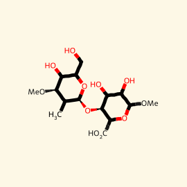 COC1OC(C(=O)O)[C@@H](O[C@@H]2OC(CO)C(O)[C@H](OC)C2C)C(O)C1O